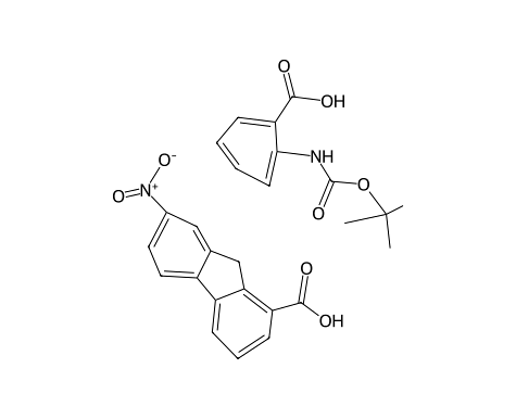 CC(C)(C)OC(=O)Nc1ccccc1C(=O)O.O=C(O)c1cccc2c1Cc1cc([N+](=O)[O-])ccc1-2